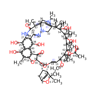 CC1(C)OC2C=CC1CC2.CO[C@H]1/C=C/O[C@@]2(C)Oc3c(C)c(O)c4c(O)c(c(/C=N/N5CCN(C)CC5)c(O)c4c3C2=O)NC(=O)/C(C)=C\C=C\[C@H](C)[C@H](O)[C@@H](C)[C@@H](O)[C@@H](C)[C@H](OC(C)=O)[C@@H]1C